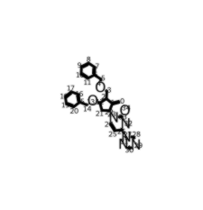 C=C1C(COCc2ccccc2)C(OCc2ccccc2)CC1n1ccc(-n2cncn2)nc1=O